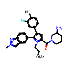 COCCn1c(C(=O)N2CCCC(N)C2)cc(-c2ccc(C#N)c(F)c2)c1-c1ccc2nn(C)cc2c1